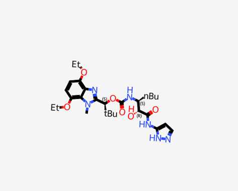 CCCC[C@H](NC(=O)O[C@H](c1nc2c(OCC)ccc(OCC)c2n1C)C(C)(C)C)[C@@H](O)C(=O)Nc1ccn[nH]1